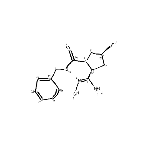 NC(=NO)[C@@H]1C[C@H](F)CN1C(=O)OCc1ccccc1